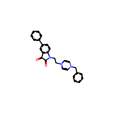 O=C1C(=O)N(CCN2C=CN(Cc3ccccc3)C=C2)c2ccc(-c3ccccc3)cc21